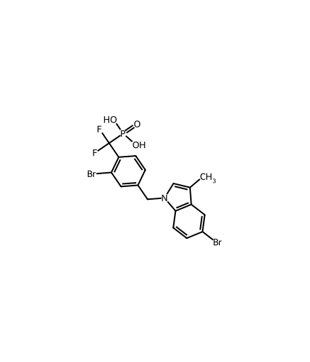 Cc1cn(Cc2ccc(C(F)(F)P(=O)(O)O)c(Br)c2)c2ccc(Br)cc12